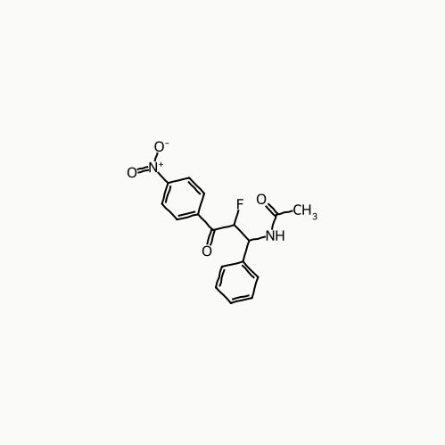 CC(=O)NC(c1ccccc1)C(F)C(=O)c1ccc([N+](=O)[O-])cc1